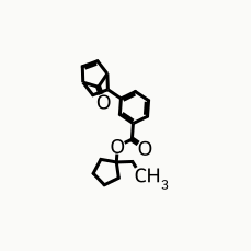 CCC1(OC(=O)c2cccc(C3CC4C=CC3C4=O)c2)CCCC1